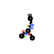 N#Cc1ccc(CCNC(=S)Nc2ccc(NC(=O)c3ccccc3F)c(OCc3ccccc3)c2)cc1